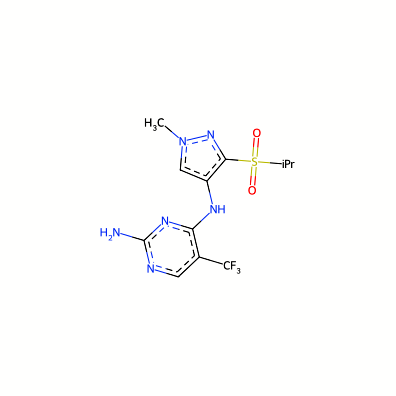 CC(C)S(=O)(=O)c1nn(C)cc1Nc1nc(N)ncc1C(F)(F)F